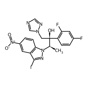 C[C@@H](n1nc(I)c2cc([N+](=O)[O-])ccc21)[C@](O)(Cn1cncn1)c1ccc(F)cc1F